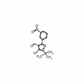 CC(C)(C)n1nc(-c2cccc([N+](=O)[O-])c2)c(C=O)c1Cl